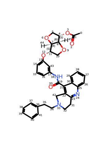 CC(=O)O[C@H]1CO[C@H]2[C@@H]1OC[C@@H]2Oc1cccc(NC(=O)c2c3c(nc4ccccc24)CCN(CCc2ccccc2)C3)c1